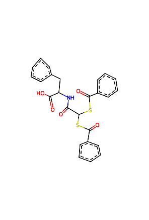 O=C(SC(SC(=O)c1ccccc1)C(=O)NC(Cc1ccccc1)C(=O)O)c1ccccc1